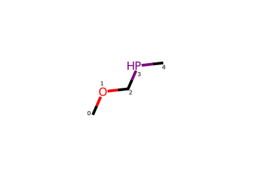 COCPC